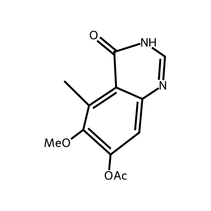 COc1c(OC(C)=O)cc2nc[nH]c(=O)c2c1C